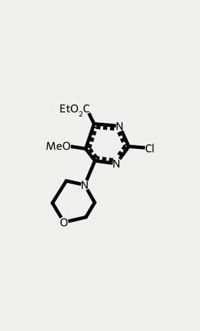 CCOC(=O)c1nc(Cl)nc(N2CCOCC2)c1OC